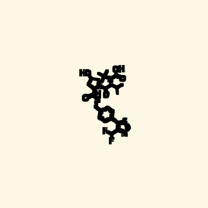 CC(C)C(C(=O)N1C[C@H](O)C[C@H]1C(=O)NCc1ccc(-c2scnc2C(F)F)cc1)N(C(=O)O)C(C)(C)C